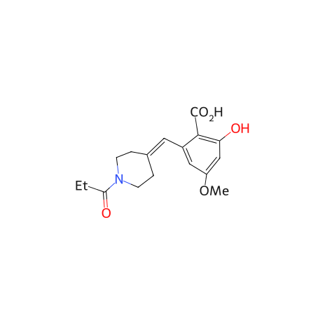 CCC(=O)N1CCC(=Cc2cc(OC)cc(O)c2C(=O)O)CC1